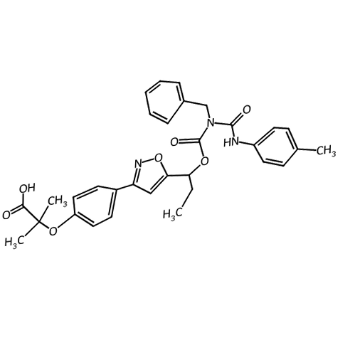 CCC(OC(=O)N(Cc1ccccc1)C(=O)Nc1ccc(C)cc1)c1cc(-c2ccc(OC(C)(C)C(=O)O)cc2)no1